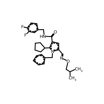 CC(C)CO/N=C/c1cc(C(=O)NCc2ccc(F)c(F)c2)c(C2CCCC2)n1Cc1ccccc1